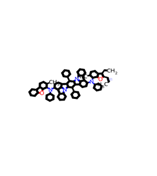 C=Cc1c(/C=C\C)oc2c(N(c3ccccc3)c3ccc4c5c(-c6ccccc6)c6c(c(-c7ccccc7)c5n5c7ccccc7c3c45)c3ccc(N(c4ccccc4)c4c(C)ccc5c4oc4ccccc45)c4c5ccccc5n6c34)c(C)ccc12